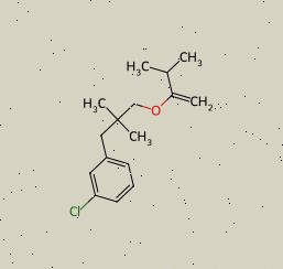 C=C(OCC(C)(C)Cc1cccc(Cl)c1)C(C)C